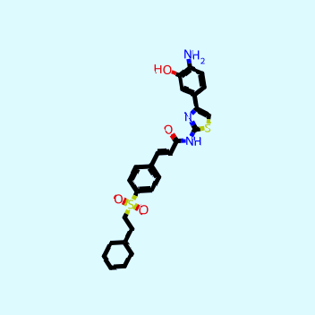 Nc1ccc(-c2csc(NC(=O)/C=C/c3ccc(S(=O)(=O)CCC4CCCCC4)cc3)n2)cc1O